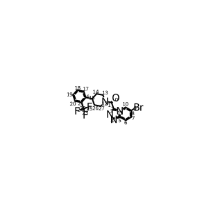 O=C(c1nnc2ccc(Br)cn12)N1CCC(c2ccccc2C(F)(F)F)CC1